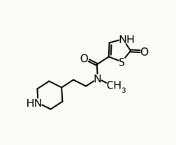 CN(CCC1CCNCC1)C(=O)c1c[nH]c(=O)s1